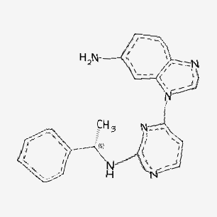 C[C@H](Nc1nccc(-n2cnc3ccc(N)cc32)n1)c1ccccc1